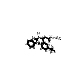 CC(=O)NC(C)CC(Nc1nc2ccccc2[nH]1)c1cccc(C(C)(F)F)c1